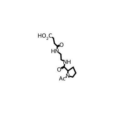 CC(=O)N1CCCC1C(=O)NCCNC(=O)CCC(=O)O